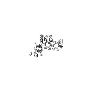 C=CC(=O)N1C[C@H](C)N(c2nc(=O)n3c4c(c(-c5ccc(F)c(Cl)c5)ccc24)OCC3)C[C@H]1C